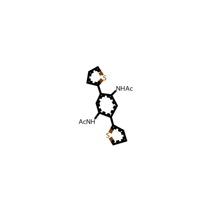 CC(=O)Nc1cc(-c2cccs2)c(NC(C)=O)cc1-c1cccs1